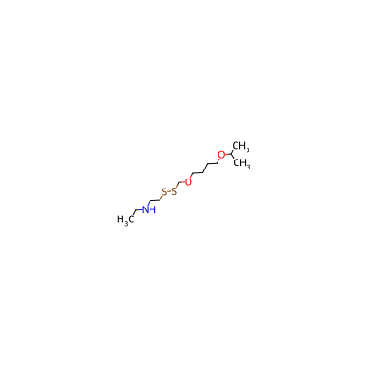 CCNCCSSCOCCCCOC(C)C